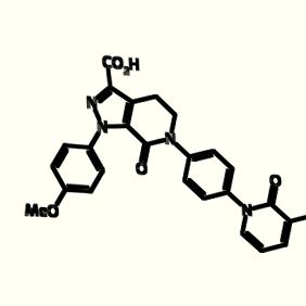 COc1ccc(-n2nc(C(=O)O)c3c2C(=O)N(c2ccc(-n4cccc(C)c4=O)cc2)CC3)cc1